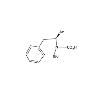 CC(=O)[C@H](Cc1ccccc1)N(C(=O)O)C(C)(C)C